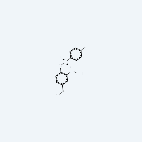 COc1cc(CBr)ccc1NS(=O)(=O)c1ccc(F)cc1